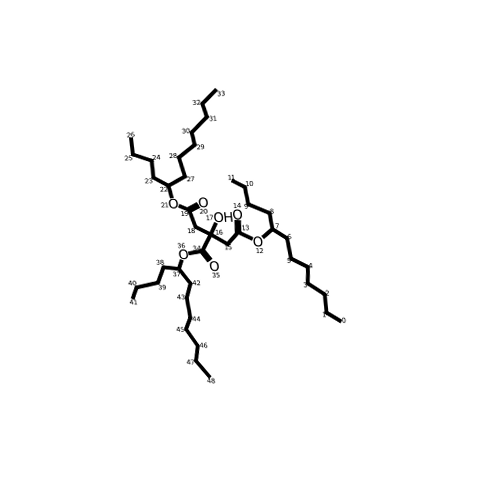 CCCCCCCC(CCCC)OC(=O)CC(O)(CC(=O)OC(CCCC)CCCCCCC)C(=O)OC(CCCC)CCCCCCC